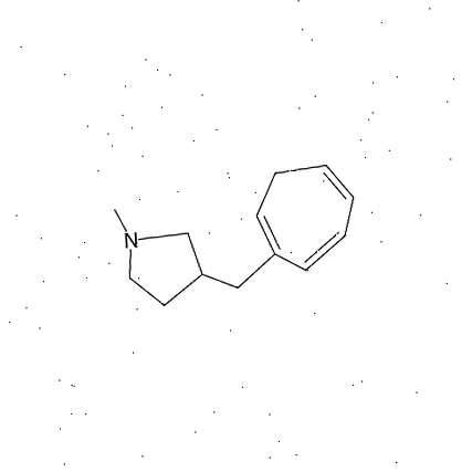 CN1CCC(CC2=CCC=CC=C2)C1